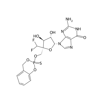 Nc1nc2c(ncn2[C@@H]2O[C@@](COP3(=S)OCc4ccccc4O3)(C(F)F)[C@@H](O)[C@@H]2O)c(=O)[nH]1